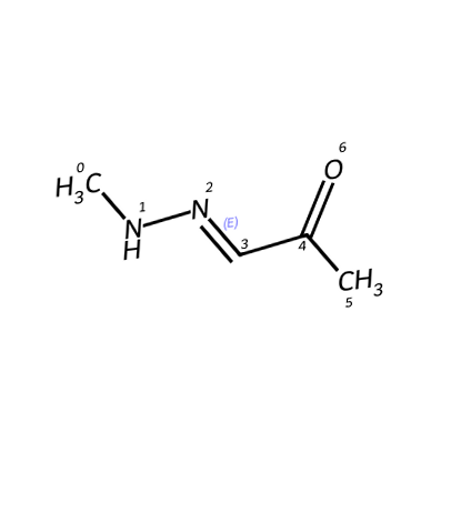 CN/N=C/C(C)=O